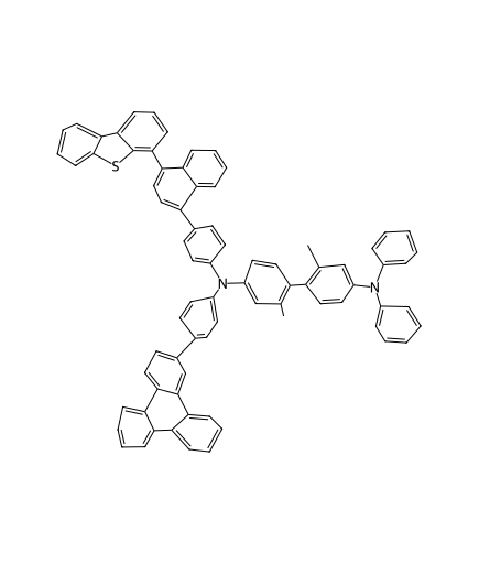 Cc1cc(N(c2ccccc2)c2ccccc2)ccc1-c1ccc(N(c2ccc(-c3ccc4c5ccccc5c5ccccc5c4c3)cc2)c2ccc(-c3ccc(-c4cccc5c4sc4ccccc45)c4ccccc34)cc2)cc1C